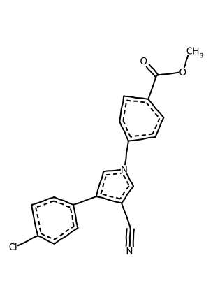 COC(=O)c1ccc(-n2cc(C#N)c(-c3ccc(Cl)cc3)c2)cc1